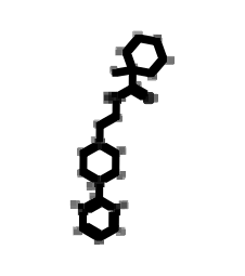 CC1(C(=O)NCCN2CCN(c3ncccn3)CC2)CCCCC1